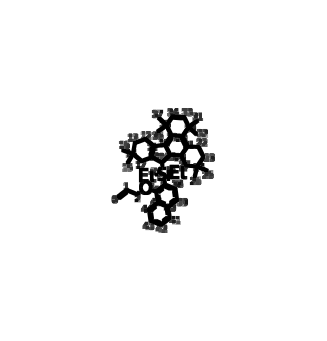 C=CCOc1c([Si](CC)(CC)C2C3=C(CCC(C)(C)C3)C3=C4C(=C5CCC(C)(C)CC5C32)C(C)(C)C=CC4(C)C)ccc2ccccc12